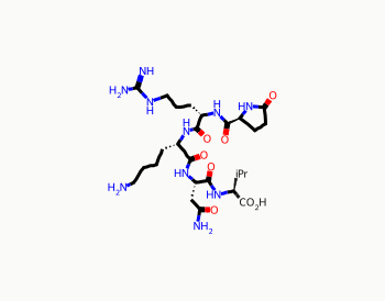 CC(C)[C@H](NC(=O)[C@H](CC(N)=O)NC(=O)[C@H](CCCCN)NC(=O)[C@H](CCCNC(=N)N)NC(=O)[C@@H]1CCC(=O)N1)C(=O)O